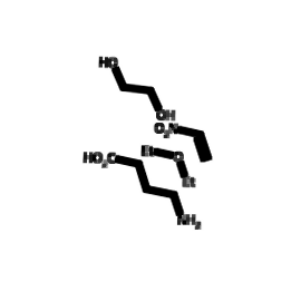 C=C[N+](=O)[O-].CCOCC.NCCCC(=O)O.OCCO